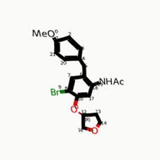 COc1ccc(Cc2cc(Br)c(O[C@@H]3CCOC3)cc2NC(C)=O)cc1